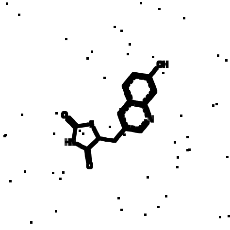 O=C1NC(=O)C(Cc2cnc3cc(O)ccc3c2)S1